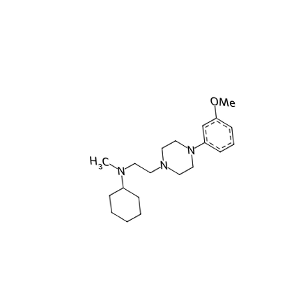 COc1cccc(N2CCN(CCN(C)C3CCCCC3)CC2)c1